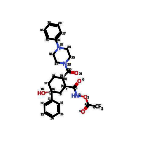 O=C(NOC(=O)C(F)(F)F)[C@H]1C[C@@](O)(c2ccccc2)CC[C@@H]1C(=O)N1CCN(c2ccccc2)CC1